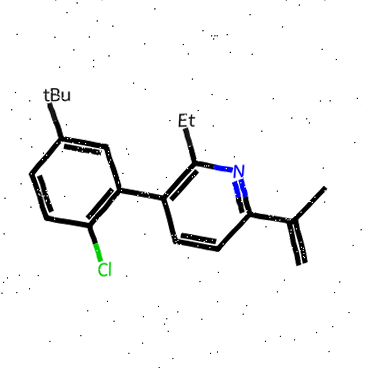 C=C(C)c1ccc(-c2cc(C(C)(C)C)ccc2Cl)c(CC)n1